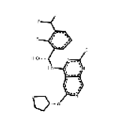 Cc1nc(N[C@H](C)c2cccc(C(F)F)c2F)c2cc(O[C@@H]3CCOC3)ncc2n1